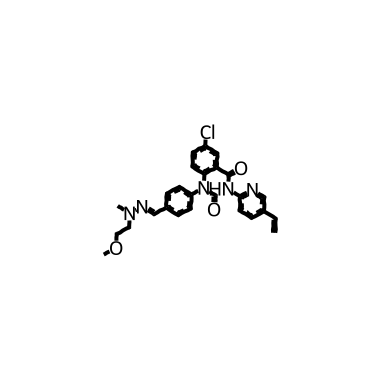 C=Cc1ccc(NC(=O)c2cc(Cl)ccc2N(C=O)c2ccc(C=NN(C)CCOC)cc2)nc1